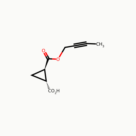 CC#CCOC(=O)[C@@H]1C[C@H]1C(=O)O